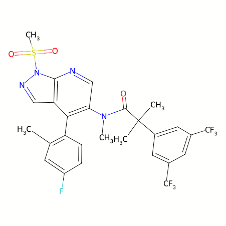 Cc1cc(F)ccc1-c1c(N(C)C(=O)C(C)(C)c2cc(C(F)(F)F)cc(C(F)(F)F)c2)cnc2c1cnn2S(C)(=O)=O